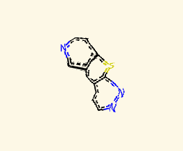 c1cc2sc3nnccc3c2cn1